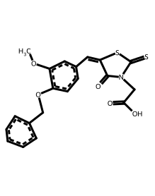 COc1cc(C=C2SC(=S)N(CC(=O)O)C2=O)ccc1OCc1ccccc1